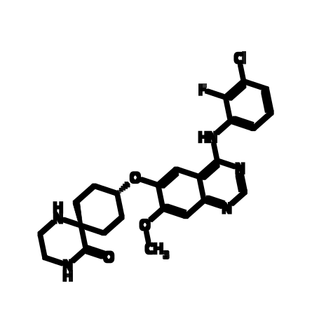 COc1cc2ncnc(Nc3cccc(Cl)c3F)c2cc1O[C@H]1CC[C@]2(CC1)NCCNC2=O